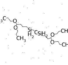 CCCOC(CCC[SiH2]CC[SiH2]CCCC(OCCC)OCCC)OCCC